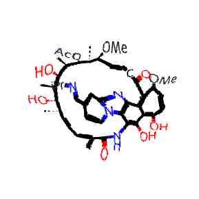 COC1C#CC(O)=c2c(O)c3c4c(nc5cc(/C=N/C(C)C)ccn54)c2=C1C(=O)C/C=C/[C@H](OC)[C@@H](C)[C@@H](OC(C)=O)[C@H](C)[C@H](O)[C@H](C)[C@@H](O)[C@@H](C)/C=C/C=C(/C)C(=O)N3